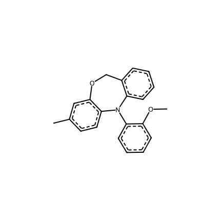 COc1ccccc1N1c2ccccc2COc2cc(C)ccc21